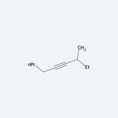 [CH2]CC(C)C#CCCCC